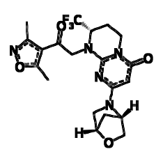 Cc1noc(C)c1C(=O)CN1c2nc(N3C[C@@H]4C[C@H]3CO4)cc(=O)n2CC[C@H]1C(F)(F)F